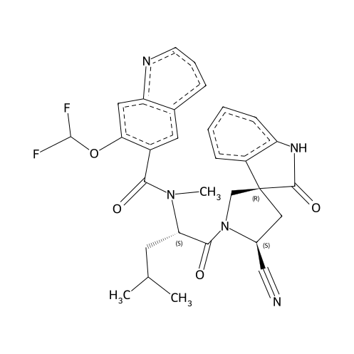 CC(C)C[C@@H](C(=O)N1C[C@]2(C[C@H]1C#N)C(=O)Nc1ccccc12)N(C)C(=O)c1cc2cccnc2cc1OC(F)F